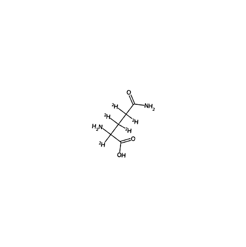 [2H]C([2H])(C(N)=O)C([2H])([2H])C([2H])(N)C(=O)O